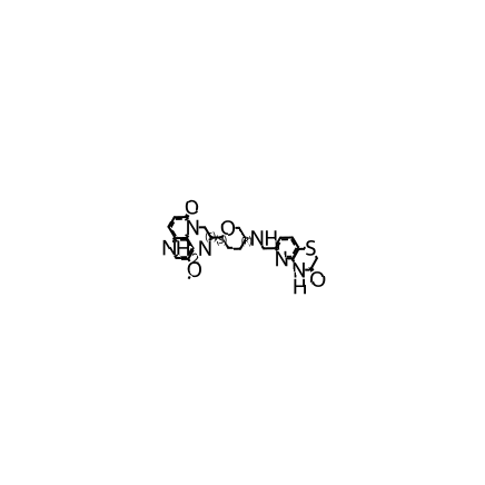 COc1cnc2ccc(=O)n(C[C@H](N)[C@@H]3CC[C@@H](NCc4ccc5c(n4)NC(=O)CS5)CO3)c2c1